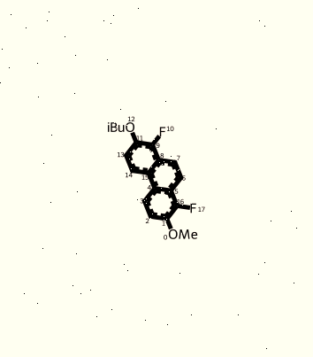 COc1ccc2c(ccc3c(F)c(OCC(C)C)ccc32)c1F